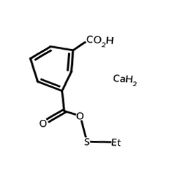 CCSOC(=O)c1cccc(C(=O)O)c1.[CaH2]